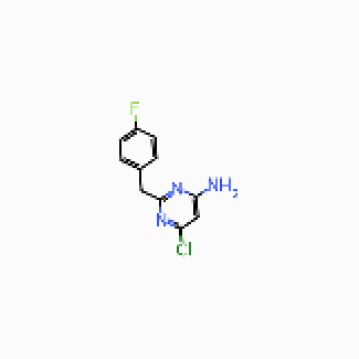 Nc1cc(Cl)nc(Cc2ccc(F)cc2)n1